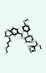 CC[C@@H](C[C@H]1C[C@H](c2ccc(OC)cc2)[C@@H](OCc2ccc3c(c2)N(CCCOC)CCO3)CN1)c1nnn[nH]1